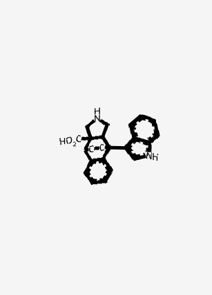 O=C(O)C12CNCC1C1(c3c[nH]c4ccccc34)CCC2c2ccccc21